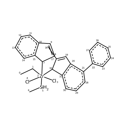 C[CH2][Zr]([Cl])([Cl])([SiH2]C)([CH]1C=Cc2ccccc21)[CH]1C(C)=Cc2c(-c3ccccc3)cccc21